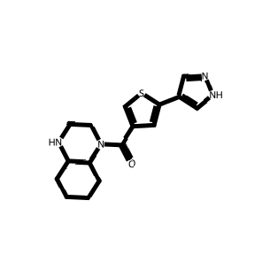 O=C(c1csc(-c2cn[nH]c2)c1)N1CCNC2CCCCC21